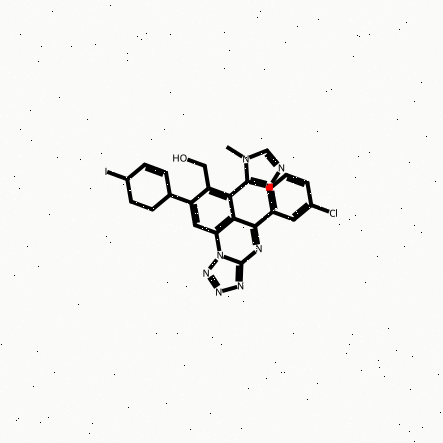 Cn1cnnc1-c1c(CO)c(C2C=CC(I)CC2)cc2c1c(-c1cccc(Cl)c1)nc1nnnn12